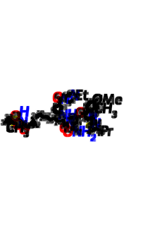 CCN1CCN(C(=O)c2cccc(N[C@@H](CCCCC/C=C\[C@@H]3C[C@@H]3C(=O)NOS(=O)C3(C)CC3)C(=O)N3C[C@H](Oc4cc(-c5nc(C(C)C)cs5)nc5c(C)c(OC)ccc45)C[C@H]3C(N)=O)c2)CC1